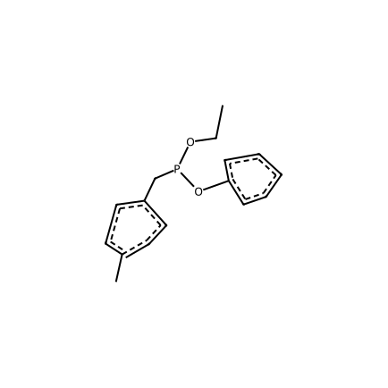 CCOP(Cc1ccc(C)cc1)Oc1ccccc1